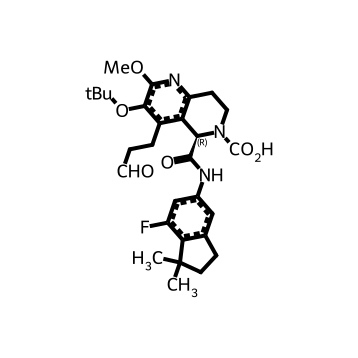 COc1nc2c(c(CCC=O)c1OC(C)(C)C)[C@H](C(=O)Nc1cc(F)c3c(c1)CCC3(C)C)N(C(=O)O)CC2